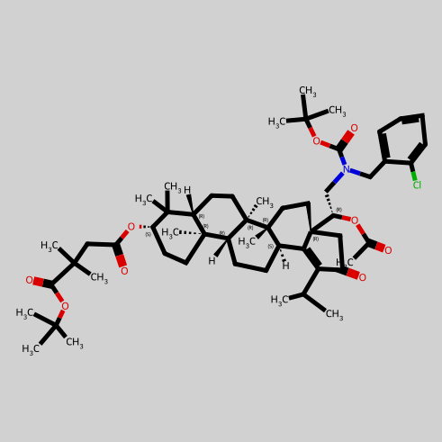 CC(=O)O[C@@H](CN(Cc1ccccc1Cl)C(=O)OC(C)(C)C)[C@@]12CC[C@]3(C)[C@H](CC[C@@H]4[C@@]5(C)CC[C@H](OC(=O)CC(C)(C)C(=O)OC(C)(C)C)C(C)(C)[C@@H]5CC[C@]43C)C1=C(C(C)C)C(=O)C2